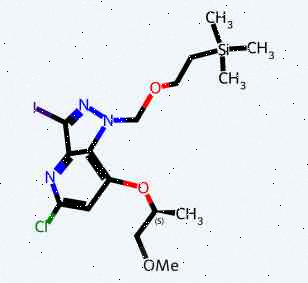 COC[C@H](C)Oc1cc(Cl)nc2c(I)nn(COCC[Si](C)(C)C)c12